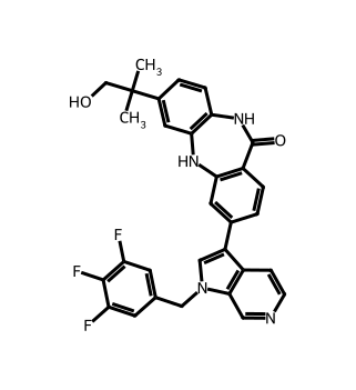 CC(C)(CO)c1ccc2c(c1)Nc1cc(-c3cn(Cc4cc(F)c(F)c(F)c4)c4cnccc34)ccc1C(=O)N2